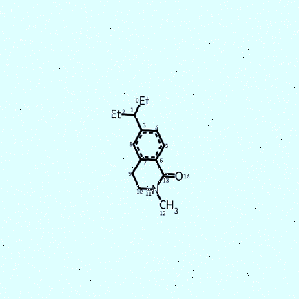 CCC(CC)c1ccc2c(c1)CCN(C)C2=O